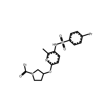 CCC(=O)N1CCC(Oc2ccc(NS(=O)(=O)c3ccc(C(C)C)cc3)c(C)n2)C1